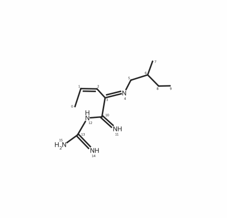 C/C=C\C(=N/CC(C)CC)C(=N)NC(=N)N